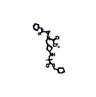 CC/C(=C\c1ccccc1)C1CC1N(CC1CC(NCC(C)(C)C(=O)OCc2ccccc2)C1)C(=O)C(F)(F)F